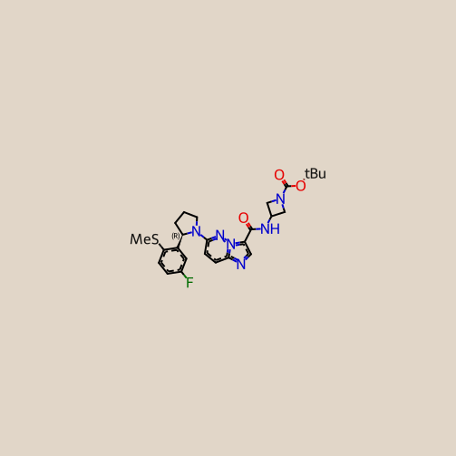 CSc1ccc(F)cc1[C@H]1CCCN1c1ccc2ncc(C(=O)NC3CN(C(=O)OC(C)(C)C)C3)n2n1